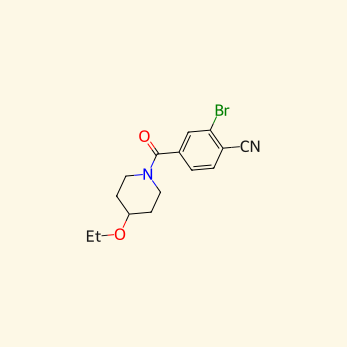 CCOC1CCN(C(=O)c2ccc(C#N)c(Br)c2)CC1